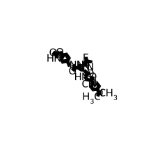 C[C@H](NC(=O)c1cc(C(=O)NCc2ccc3oc(=O)[nH]c3c2)nc2c(F)cnn12)C(=O)N1CCC(N(C)C)CC1